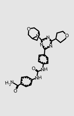 NC(=O)c1ccc(NC(=O)Nc2ccc(-c3nc(C4CCOCC4)nc(N4C5CCC4COC5)n3)cc2)cc1